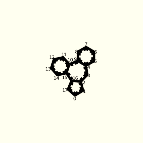 c1cc2cc3ccccc3c3ccccc3c-2c1